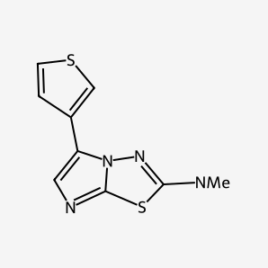 CNc1nn2c(-c3ccsc3)cnc2s1